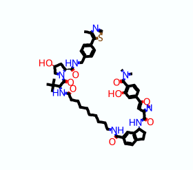 Cc1ncsc1-c1ccc(CNC(=O)[C@@H]2C[C@@H](O)CN2C(=O)C(NC(=O)CCCCCCCCCNC(=O)c2ccc3c(c2)[C@H](NC(=O)c2cc(-c4ccc(C(=O)N(C)C)c(O)c4)on2)CC3)C(C)(C)C)cc1